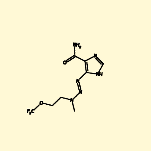 CN(CCOC(F)(F)F)/N=N/c1[nH]cnc1C(N)=O